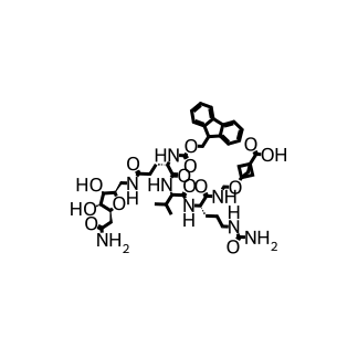 CC(C)[C@H](NC(=O)[C@H](CCC(=O)NC[C@H]1O[C@@H](CC(N)=O)[C@H](O)[C@@H]1O)NC(=O)OCC1c2ccccc2-c2ccccc21)C(=O)N[C@@H](CCCNC(N)=O)C(=O)NCOC12CC(C(=O)O)(C1)C2